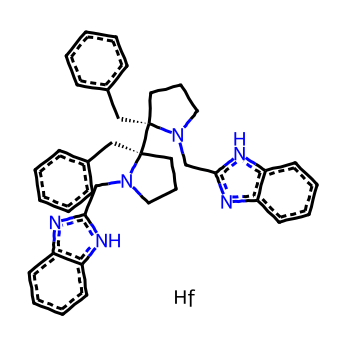 [Hf].c1ccc(C[C@]2([C@@]3(Cc4ccccc4)CCCN3Cc3nc4ccccc4[nH]3)CCCN2Cc2nc3ccccc3[nH]2)cc1